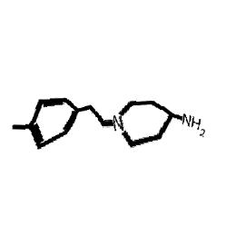 Cc1ccc(CCN2CCC(N)CC2)cc1